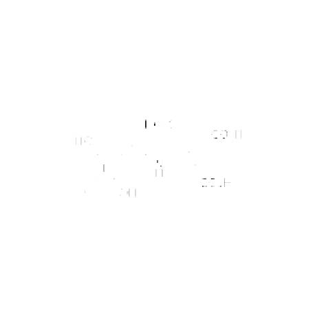 O=C(O)C(NCP(=O)(O)O)(C(=O)O)C(=O)O